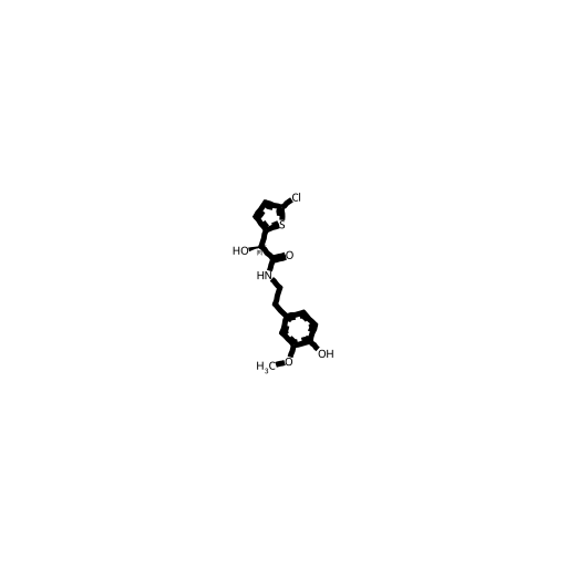 COc1cc(CCNC(=O)[C@@H](O)c2ccc(Cl)s2)ccc1O